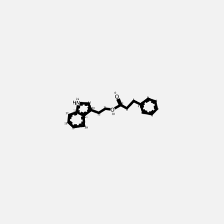 O=C(CCc1ccccc1)OCCc1c[nH]c2ccccc12